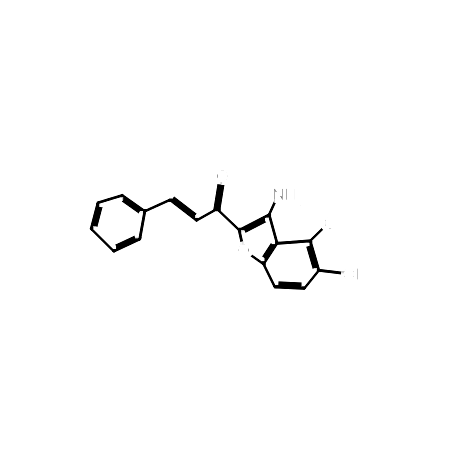 Nc1c(C(=O)/C=C/c2ccccc2)oc2ccc(O)c(Cl)c12